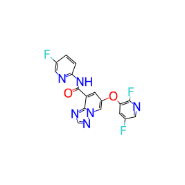 O=C(Nc1ccc(F)cn1)c1cc(Oc2cc(F)cnc2F)cn2ncnc12